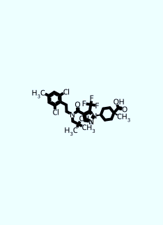 Cc1cc(Cl)c(CCN(CC(C)(C)C)C(=O)c2cnn([C@H]3CC[C@](C)(C(=O)O)CC3)c2C(F)(F)F)c(Cl)c1